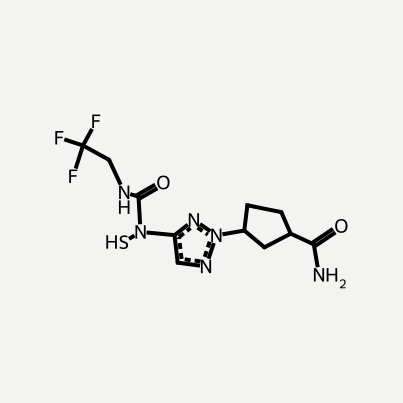 NC(=O)C1CCC(n2ncc(N(S)C(=O)NCC(F)(F)F)n2)C1